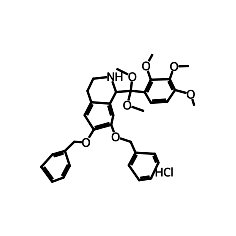 COc1ccc(C(OC)(OC)C2NCCc3cc(OCc4ccccc4)c(OCc4ccccc4)cc32)c(OC)c1OC.Cl